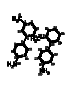 Cc1cccc(-c2ccc(N)cc2)c1.Cc1ccccc1-c1ccc(N)cc1